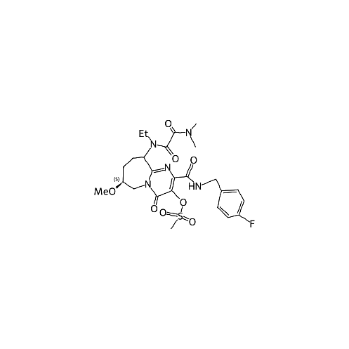 CCN(C(=O)C(=O)N(C)C)C1CC[C@H](OC)Cn2c1nc(C(=O)NCc1ccc(F)cc1)c(OS(C)(=O)=O)c2=O